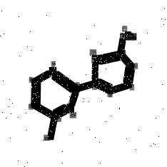 CCCCc1cccc(-c2nccc(C)n2)n1